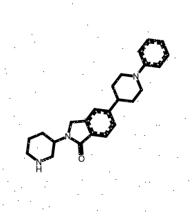 O=C1c2ccc(C3CCN(c4ccccc4)CC3)cc2CN1C1CCCNC1